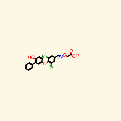 O=C(O)CO/N=C/c1cc(Br)c(Oc2ccc(O)c(-c3ccccc3)c2)c(Br)c1